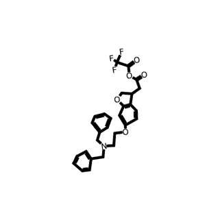 O=C(CC1COc2cc(OCCN(Cc3ccccc3)Cc3ccccc3)ccc21)OC(=O)C(F)(F)F